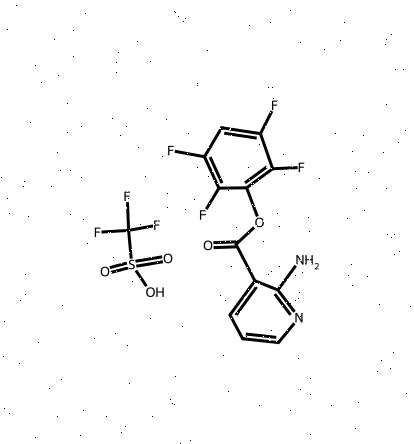 Nc1ncccc1C(=O)Oc1c(F)c(F)cc(F)c1F.O=S(=O)(O)C(F)(F)F